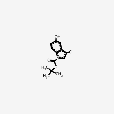 CC(C)(C)OC(=O)n1cc(Cl)c2cc(O)ccc21